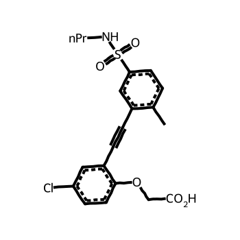 CCCNS(=O)(=O)c1ccc(C)c(C#Cc2cc(Cl)ccc2OCC(=O)O)c1